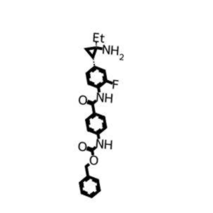 CC[C@@]1(N)C[C@H]1c1ccc(NC(=O)c2ccc(NC(=O)OCc3ccccc3)cc2)c(F)c1